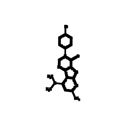 CCc1ccc(-n2cnc3c(sc4nc(C)cc(N(C)C)c43)c2=O)cc1